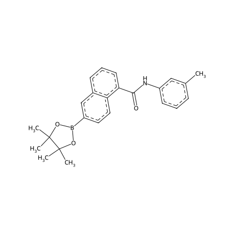 Cc1cccc(NC(=O)c2cccc3cc(B4OC(C)(C)C(C)(C)O4)ccc23)c1